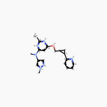 CN(c1cnn(C)c1)c1cc(OCC2CC2c2ccccn2)nc(C#N)n1